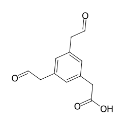 O=CCc1cc(CC=O)cc(CC(=O)O)c1